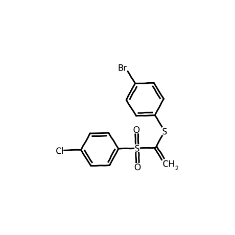 C=C(Sc1ccc(Br)cc1)S(=O)(=O)c1ccc(Cl)cc1